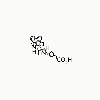 O=C(O)CCc1ccc(N2C[C@@H]3C[C@H]2C[C@H]3OCc2[nH]nc(C3CC3)c2-c2c(Cl)cccc2Cl)cc1